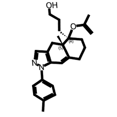 C=C(C)O[C@@]1(CCCO)CCCC2=Cc3c(cnn3-c3ccc(C)cc3)C[C@@]21C